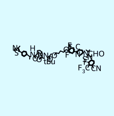 Cc1ncsc1-c1ccc(C(C)NC(=O)C2CCCN2C(=O)C(NC(=O)COCCCCOc2c(F)cc(-c3ncc(N(C(=S)N(C)c4ccc(C#N)c(C(F)(F)F)c4F)C(C)(C)C=O)cc3C(F)(F)F)cc2F)C(C)(C)C)cc1